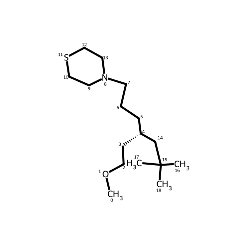 COCC[C@H](CCCN1CCSCC1)CC(C)(C)C